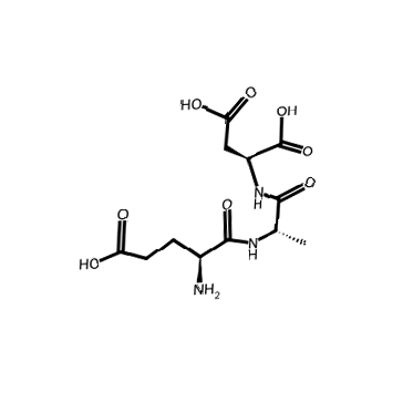 C[C@H](NC(=O)[C@@H](N)CCC(=O)O)C(=O)N[C@@H](CC(=O)O)C(=O)O